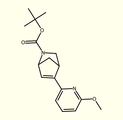 COc1cccc(C2=CC3CC2CN3C(=O)OC(C)(C)C)n1